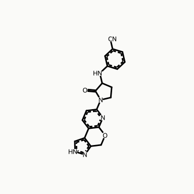 N#Cc1cccc(NC2CCN(c3ccc4c(n3)OCc3n[nH]cc3-4)C2=O)c1